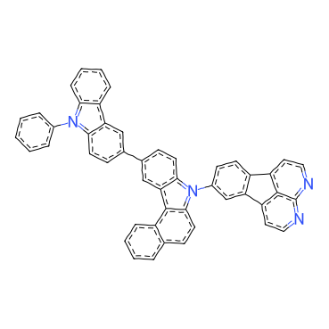 c1ccc(-n2c3ccccc3c3cc(-c4ccc5c(c4)c4c6ccccc6ccc4n5-c4ccc5c(c4)-c4ccnc6nccc-5c46)ccc32)cc1